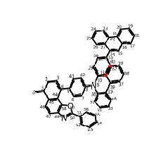 CC1CC=C(c2ccc(N(c3ccc(-c4cc5ccccc5c5ccccc45)cc3)c3ccccc3-c3ccccc3)cc2)c2c1ccc1nc(-c3ccccc3)oc21